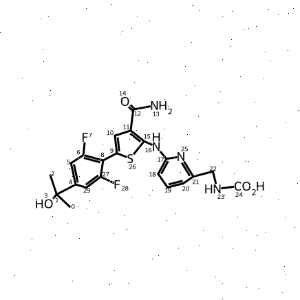 CC(C)(O)c1cc(F)c(-c2cc(C(N)=O)c(Nc3cccc(CNC(=O)O)n3)s2)c(F)c1